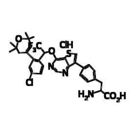 CC1(C)C=C(c2cc(Cl)ccc2C(Oc2ncnc3c(-c4ccc(CC(N)C(=O)O)cc4)csc23)C(F)(F)F)CC(C)(C)O1.Cl